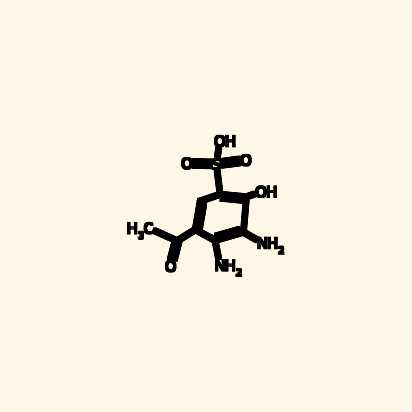 CC(=O)c1cc(S(=O)(=O)O)c(O)c(N)c1N